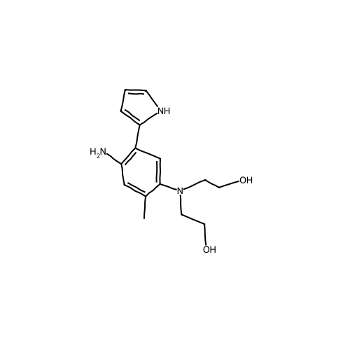 Cc1cc(N)c(-c2ccc[nH]2)cc1N(CCO)CCO